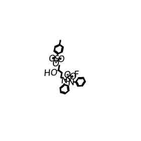 Cc1ccc(S(=O)(=O)OC[C@@H](O)CCN2c3ccccc3N(c3ccccc3F)S2(=O)=O)cc1